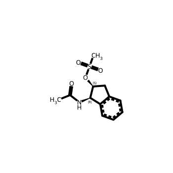 CC(=O)N[C@@H]1c2ccccc2C[C@@H]1OS(C)(=O)=O